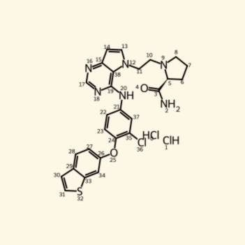 Cl.Cl.NC(=O)[C@@H]1CCCN1CCn1ccc2ncnc(Nc3ccc(Oc4ccc5ccsc5c4)c(Cl)c3)c21